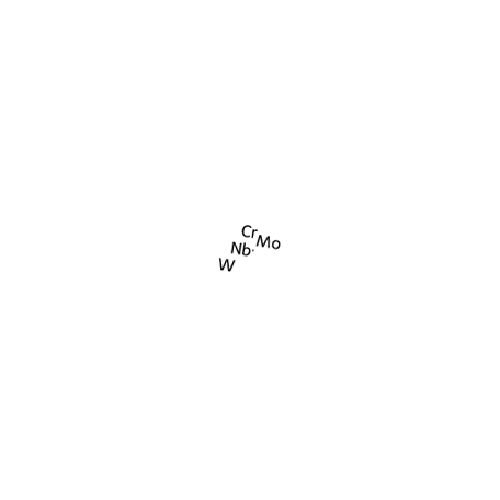 [Cr].[Mo].[Nb].[W]